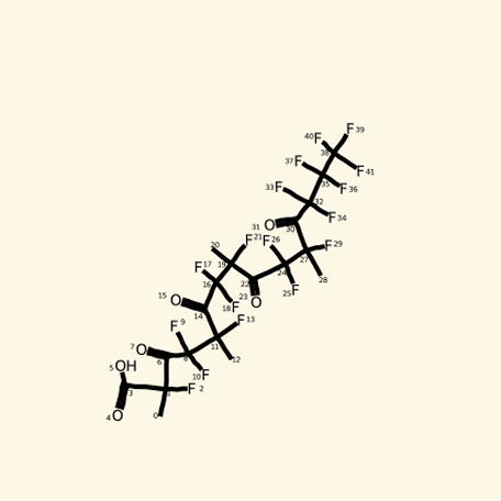 CC(F)(C(=O)O)C(=O)C(F)(F)C(C)(F)C(=O)C(F)(F)C(C)(F)C(=O)C(F)(F)C(C)(F)C(=O)C(F)(F)C(F)(F)C(F)(F)F